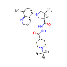 [2H]C([2H])([2H])N1CCC(C(=O)NNC(=O)[C@@]23CN(c4ccc(C#N)c5ncccc45)C[C@]2(C(F)(F)F)C3)CC1